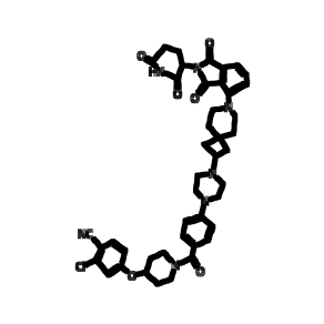 N#Cc1ccc(OC2CCN(C(=O)c3ccc(N4CCN(C5CC6(CCN(c7cccc8c7C(=O)N(C7CCC(=O)NC7=O)C8=O)CC6)C5)CC4)cc3)CC2)cc1Cl